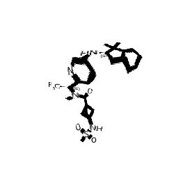 CN(C(=O)C12CC(NS(C)(=O)=O)(C1)C2)[C@@H](c1ccc(N[C@H]2Cc3ccccc3C2(C)C)cn1)C(F)(F)F